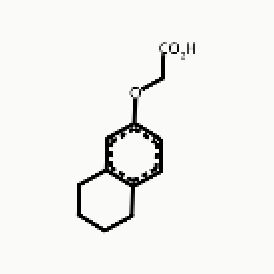 O=C(O)COc1ccc2c(c1)CCCC2